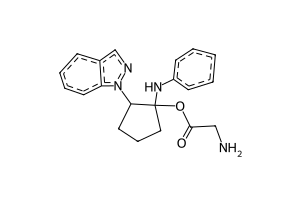 NCC(=O)OC1(Nc2ccccc2)CCCC1n1ncc2ccccc21